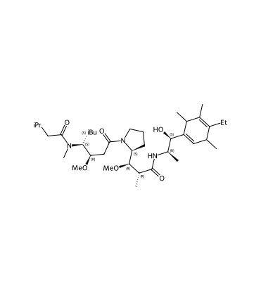 CCC1=C(C)C(C)C([C@H](O)[C@@H](C)NC(=O)[C@H](C)[C@@H](OC)[C@@H]2CCCN2C(=O)C[C@@H](OC)[C@H]([C@@H](C)CC)N(C)C(=O)CC(C)C)=CC1C